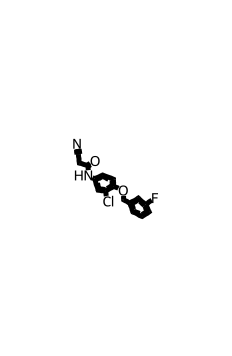 N#CCC(=O)Nc1ccc(OCc2cccc(F)c2)c(Cl)c1